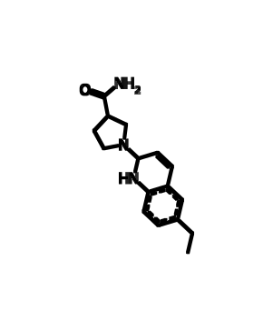 CCc1ccc2c(c1)C=CC(N1CCC(C(N)=O)C1)N2